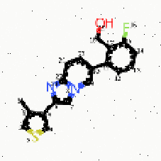 Cc1cscc1-c1cn2cc(-c3cccc(F)c3CO)ccc2n1